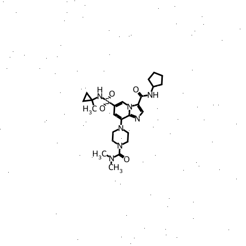 CN(C)C(=O)N1CCN(c2cc(S(=O)(=O)NC3(C)CC3)cn3c(C(=O)NC4CCCC4)cnc23)CC1